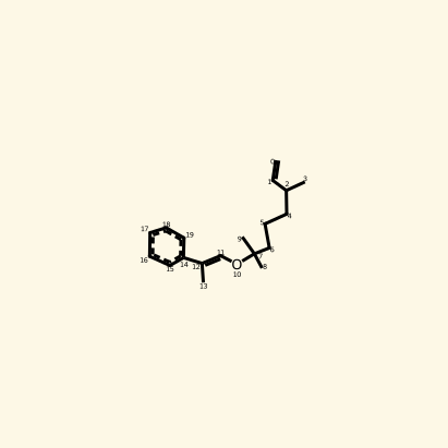 C=CC(C)CCCC(C)(C)OC=C(C)c1ccccc1